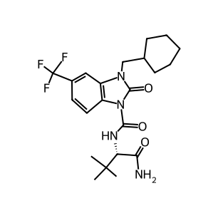 CC(C)(C)[C@H](NC(=O)n1c(=O)n(CC2CCCCC2)c2cc(C(F)(F)F)ccc21)C(N)=O